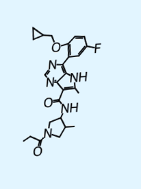 CCC(=O)N1CC(C)C(NC(=O)c2c(C)[nH]c3c(-c4cc(F)ccc4OCC4CC4)ncnc23)C1